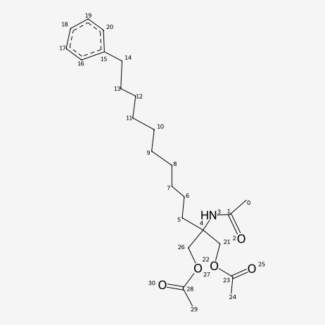 CC(=O)NC(CCCCCCCCCCc1ccccc1)(COC(C)=O)COC(C)=O